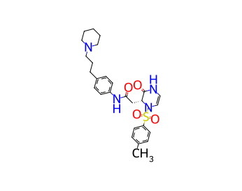 Cc1ccc(S(=O)(=O)N2C=CNC(=O)[C@H]2CC(=O)Nc2ccc(CCCN3CCCCC3)cc2)cc1